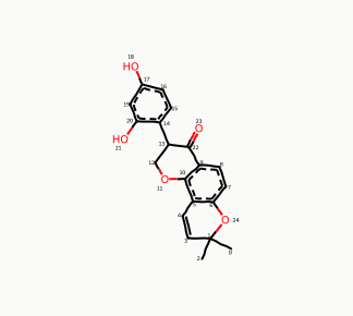 CC1(C)C=Cc2c(ccc3c2OCC(c2ccc(O)cc2O)C3=O)O1